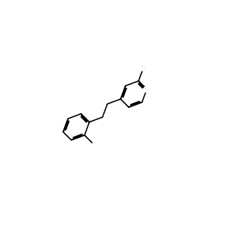 Cc1ccccc1CCc1ccnc(N)c1